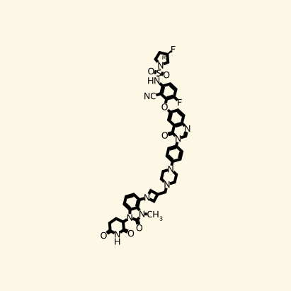 Cn1c(=O)n(C2CCC(=O)NC2=O)c2cccc(N3CC(CN4CCN(c5ccc(-n6cnc7ccc(Oc8c(F)ccc(NS(=O)(=O)N9CC[C@@H](F)C9)c8C#N)cc7c6=O)cc5)CC4)C3)c21